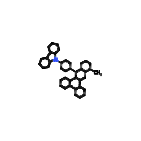 Cc1cccc2c(-c3ccc(-n4c5ccccc5c5ccccc54)cc3)c3c4ccccc4c4ccccc4c3cc12